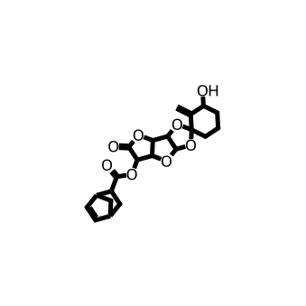 C=C1C(O)CCCC12OC1OC3C(OC(=O)C4CC5C=CC4C5)C(=O)OC3C1O2